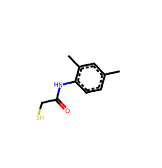 Cc1ccc(NC(=O)CS)c(C)c1